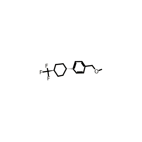 COCc1ccc([C@H]2CC[C@H](C(F)(F)F)CC2)cc1